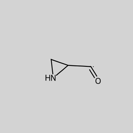 O=[C]C1CN1